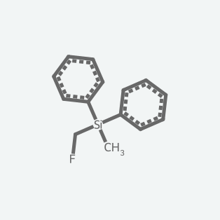 C[Si](CF)(c1ccccc1)c1ccccc1